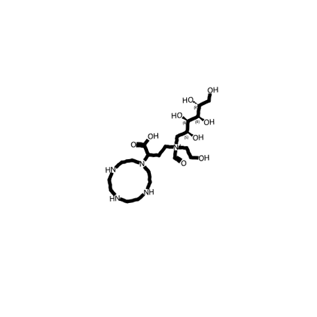 O=C[N+](CCO)(CCC(C(=O)O)N1CCNCCNCCNCC1)C[C@H](O)[C@@H](O)[C@H](O)[C@H](O)CO